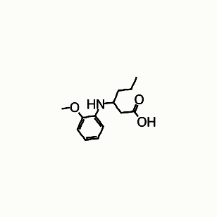 CCCC(CC(=O)O)Nc1ccccc1OC